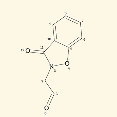 O=CCn1oc2ccccc2c1=O